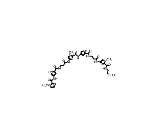 Cn1cc(NC(=O)CCNC(=O)c2cc(NC(=O)c3nc(NC(=O)CCNC(=O)c4cc(NC(=O)c5nccn5C)c[nH]4)cn3C)c[nH]2)nc1C(=O)NCCC(=O)O